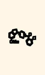 COc1ccc2c(c1)C(N1CCN(C(=O)c3ccccc3Cl)CC1)CC2